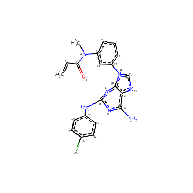 C=CC(=O)N(C)c1cccc(-n2cnc3c(N)nc(Nc4ccc(F)cc4)nc32)c1